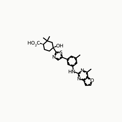 Cc1cc(Nc2nc(C)c3occc3n2)cc(-c2cnc([C@]3(O)CC[C@@H](C(=O)O)C(C)(C)C3)s2)c1